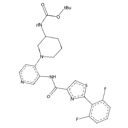 CC(C)(C)OC(=O)NC1CCCN(c2ccncc2NC(=O)c2csc(-c3c(F)cccc3F)n2)C1